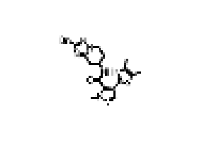 Cc1nc(-c2cnn(C)c2C(=O)NC2CCn3nc(Br)nc3C2)sc1C